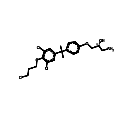 CC(C)(c1ccc(OC[C@H](O)CN)cc1)c1cc(Cl)c(OCCCCl)c(Cl)c1